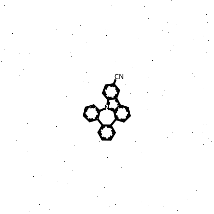 N#Cc1ccc2c(c1)c1cccc3c1n2-c1ccccc1-c1ccccc1-3